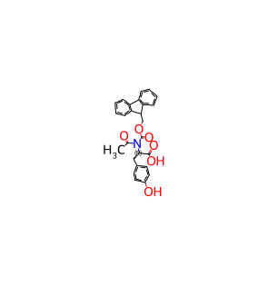 CC(=O)N(C(=O)OCC1c2ccccc2-c2ccccc21)[C@H](Cc1ccc(O)cc1)C(=O)O